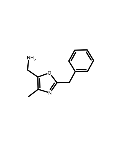 Cc1nc(Cc2ccccc2)oc1CN